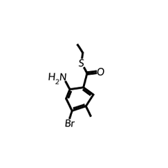 CCSC(=O)c1cc(C)c(Br)cc1N